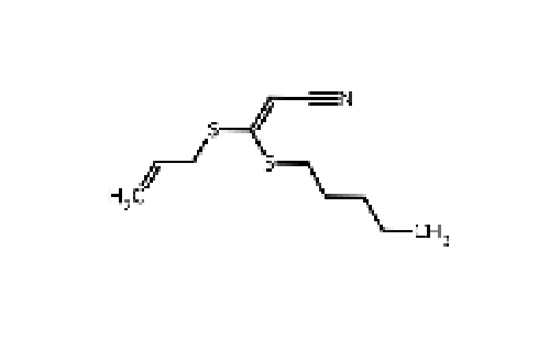 C=CCSC(=CC#N)SCCCCC